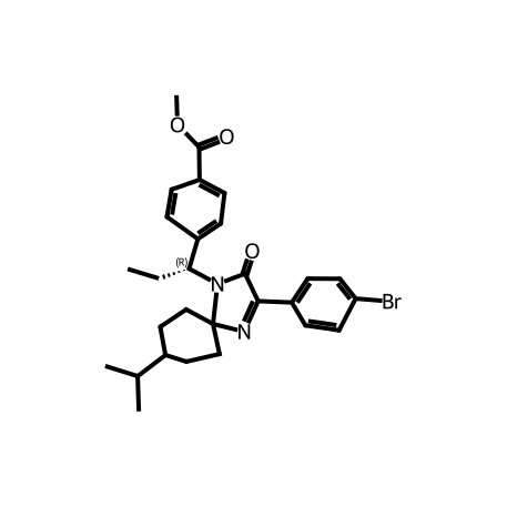 CC[C@H](c1ccc(C(=O)OC)cc1)N1C(=O)C(c2ccc(Br)cc2)=NC12CCC(C(C)C)CC2